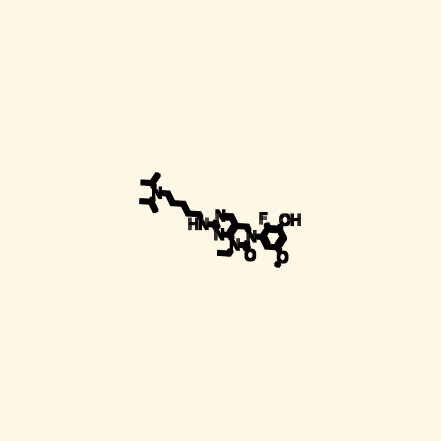 CCN1C(=O)N(c2cc(OC)cc(O)c2F)Cc2cnc(NCCCCCN(C(C)C)C(C)C)nc21